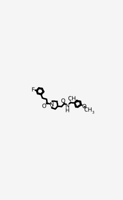 COc1ccc([C@@H](C)NC(=O)CC2CCN(C(=O)CCc3cccc(F)c3)CC2)cc1